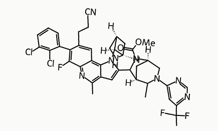 COC(=O)N1C(c2cc3c(C)nc4c(F)c(-c5cccc(Cl)c5Cl)c(CCC#N)cc4c3n2[C@H]2[C@H]3CN[C@@H]2C3)[C@H]2C[C@@H]1CN(c1cc(C(C)(F)F)ncn1)C2C